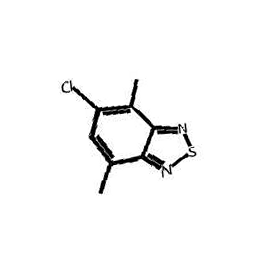 Cc1cc(Cl)c(C)c2nsnc12